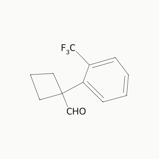 O=CC1(c2ccccc2C(F)(F)F)CCC1